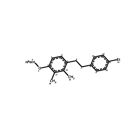 CCCCCOc1ccc(CCc2ccc(CC)cc2)c(C)c1C